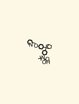 CC(C)(C)N(C(=O)O)c1ccc(C2(c3ccc(OCc4ccccn4)cc3)CC3CCC2C3)cc1